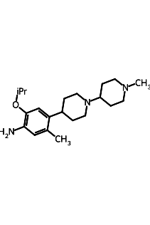 Cc1cc(N)c(OC(C)C)cc1C1CCN(C2CCN(C)CC2)CC1